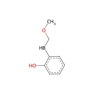 COCBc1ccccc1O